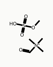 COS(=O)(=O)O.C[N+](C)(C)C=O